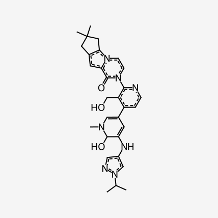 CC(C)n1cc(NC2=CC(c3ccnc(-n4ccn5c6c(cc5c4=O)CC(C)(C)C6)c3CO)=CN(C)C2O)cn1